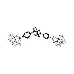 CC1(C)OB(c2ccc(C34CC56CC7C3C(C45)C76c3ccc(B4OC(C)(C)C(C)(C)O4)cc3)cc2)OC1(C)C